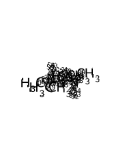 Cc1ccc2c(c1)C(C)(C)C(/C=C/C1=C(Sc3ccccc3)C(=C/C=C3/N(CCC4CCCCC4)c4ccc(C)cc4C3(C)C)/CC1)=[N+]2CCC1CCCCC1